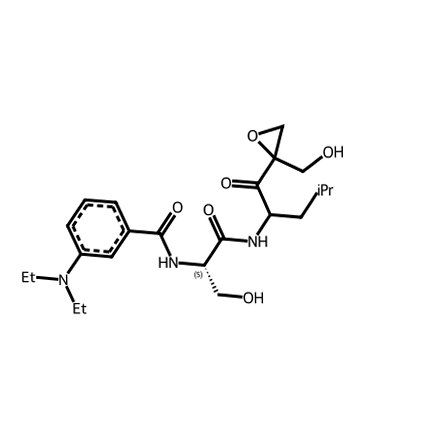 CCN(CC)c1cccc(C(=O)N[C@@H](CO)C(=O)NC(CC(C)C)C(=O)C2(CO)CO2)c1